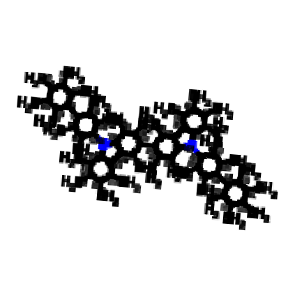 Bc1c(B)c(B)c(-c2c(B)c(B)c(-n3c4c(B)c(B)c(B)c(B)c4c4c(B)c(-c5c(B)c(B)c6c(c5B)c5c(B)c(B)c(B)c(B)c5n6-c5c(B)c(B)c(-c6c(B)c(B)c(B)c(B)c6B)c(B)c5B)c(B)c(B)c43)c(B)c2B)c(B)c1B